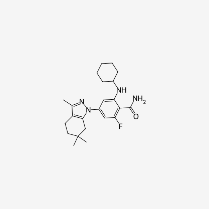 Cc1nn(-c2cc(F)c(C(N)=O)c(NC3CCCCC3)c2)c2c1CCC(C)(C)C2